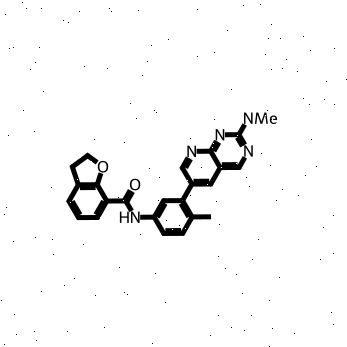 CNc1ncc2cc(-c3cc(NC(=O)c4cccc5c4OCC5)ccc3C)cnc2n1